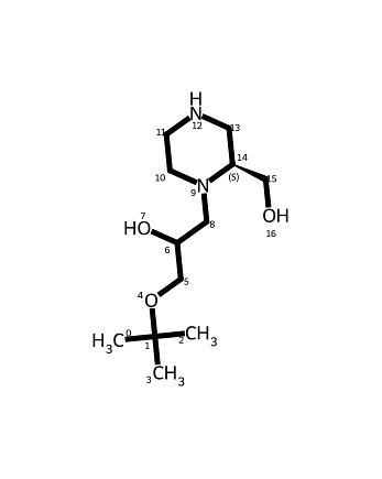 CC(C)(C)OCC(O)CN1CCNC[C@H]1CO